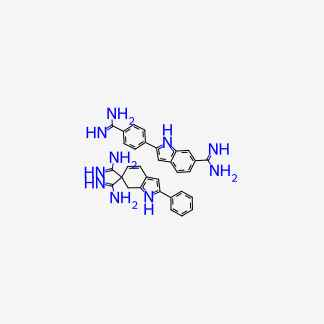 N=C(N)C1(C(=N)N)C=Cc2cc(-c3ccccc3)[nH]c2C1.N=C(N)c1ccc(-c2cc3ccc(C(=N)N)cc3[nH]2)cc1